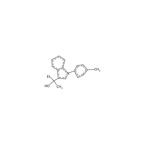 CCC(C)(O)c1cn(-c2ccc(C)cc2)c2ccccc12